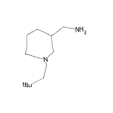 CC(C)(C)CN1CCCC(CN)C1